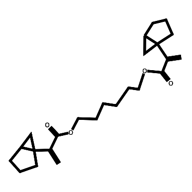 C=C(C(=O)OCCCCCCOC(=O)C(=C)C12CCCC1C2)C12CCCC1C2